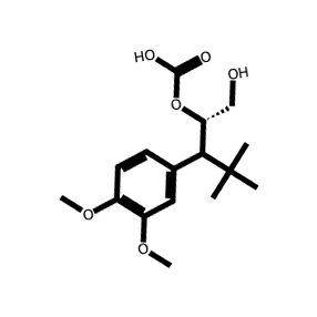 COc1ccc(C([C@@H](CO)OC(=O)O)C(C)(C)C)cc1OC